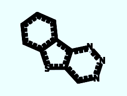 c1ccc2c(c1)sc1cnnnc12